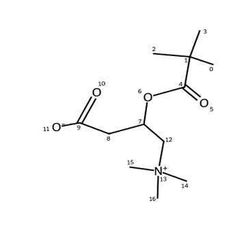 CC(C)(C)C(=O)OC(CC(=O)[O-])C[N+](C)(C)C